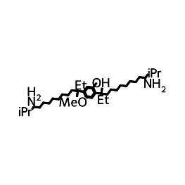 CCC(C)(CCCCCCCCC(N)C(C)C)c1cc(OC)c(C(C)(CC)CCCCCCCCC(N)C(C)C)cc1O